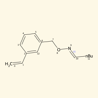 C=Cc1cccc(CO/N=[C]/CCCC)c1